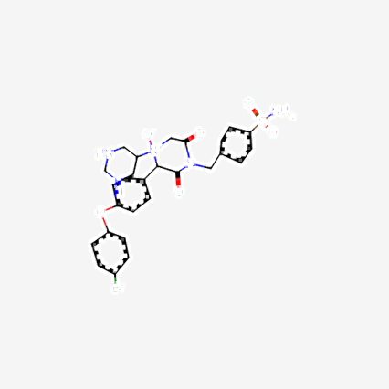 NS(=O)(=O)c1ccc(CN2C(=O)C[N+]([O-])(C3CNCNC3)C(c3ccc(Oc4ccc(Br)cc4)cc3)C2=O)cc1